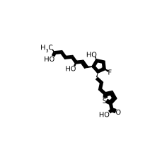 C[C@@H](O)CCC[C@H](O)/C=C/[C@@H]1[C@@H](CCCc2ccc(C(=O)O)s2)[C@H](F)C[C@H]1O